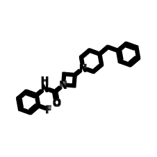 O=C(Nc1ccccc1F)N1CC(N2CCC(Cc3ccccc3)CC2)C1